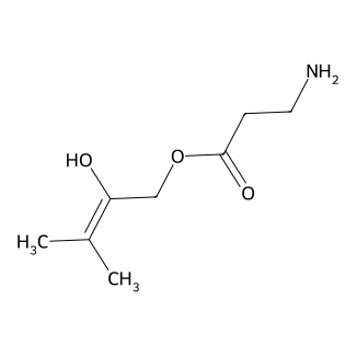 CC(C)=C(O)COC(=O)CCN